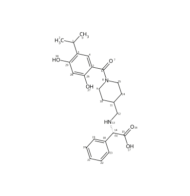 CC(C)c1cc(C(=O)N2CCC(CN[C@H](C(=O)O)c3ccccc3)CC2)c(O)cc1O